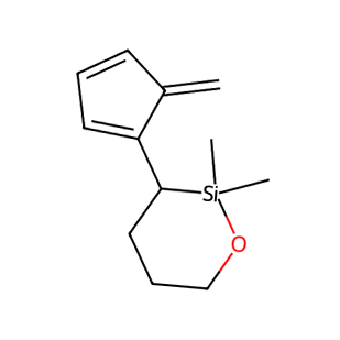 C=C1C=CC=C1C1CCCO[Si]1(C)C